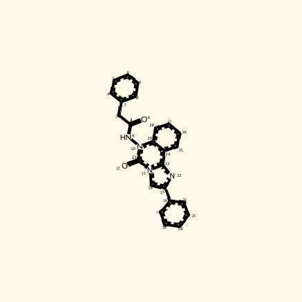 O=C(Cc1ccccc1)Nn1c(=O)n2cc(-c3ccccc3)nc2c2ccccc21